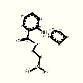 CCN(CC)CCOC(=O)c1ccccc1N.c1ccsc1